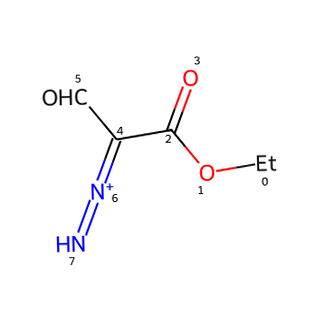 CCOC(=O)C(C=O)=[N+]=N